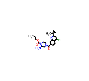 CCCOC(=O)N1CCN(C(=O)c2ccc3c(Cl)cc(C4(C)CC4)nc3c2)C[C@H]1N